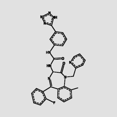 Cc1cccc2c1N(Cc1ccccn1)C(=O)C(NC(=O)Nc1cccc(-c3nnn[nH]3)c1)N=C2c1ccccc1F